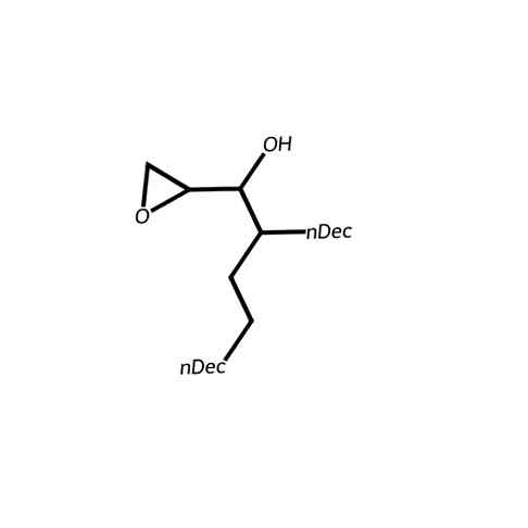 CCCCCCCCCCCCC(CCCCCCCCCC)C(O)C1CO1